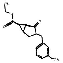 CCOC(=O)C1C2CC(Cc3cccc(C)c3)C(=O)C21